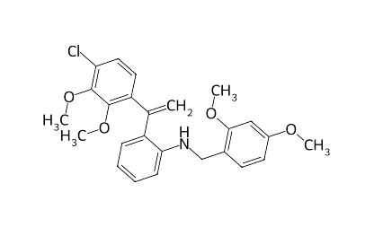 C=C(c1ccccc1NCc1ccc(OC)cc1OC)c1ccc(Cl)c(OC)c1OC